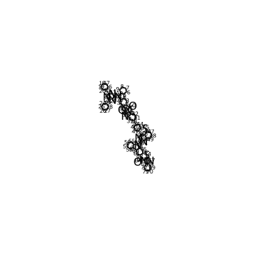 O=c1c2cc3c4ccccc4n(-c4nc(-c5ccccc5)nc(-c5ccccc5)n4)c3cc2oc2nc3cc(-c4ccc5c(c4)Sc4cccc6nc(-n7c8ccccc8c8cc9c(=O)n%10c(nc%11ccccc%11%10)sc9cc87)nc-5c46)ccc3n12